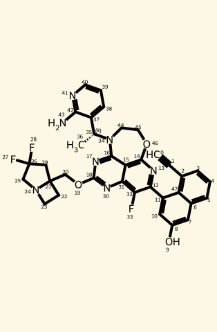 C#Cc1cccc2cc(O)cc(-c3nc4c5c(nc(OCC67CCN6CC(F)(F)C7)nc5c3F)N([C@H](C)c3cccnc3N)CCO4)c12